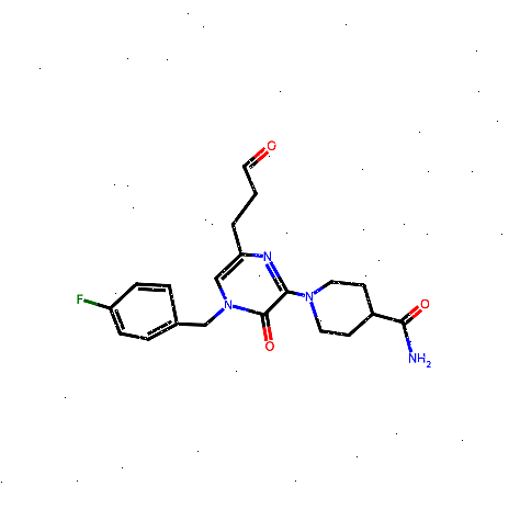 NC(=O)C1CCN(c2nc(CCC=O)cn(Cc3ccc(F)cc3)c2=O)CC1